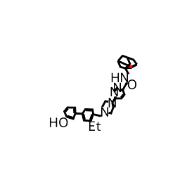 CCc1cc(-c2cccc(O)c2)ccc1CN1CCN(c2ccc(C(=O)NCC34CC5CC(CC(C5)C3)C4)nn2)CC1